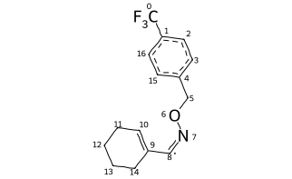 FC(F)(F)c1ccc(CO/N=[C]\C2=CCCCC2)cc1